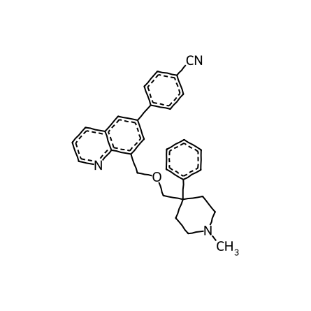 CN1CCC(COCc2cc(-c3ccc(C#N)cc3)cc3cccnc23)(c2ccccc2)CC1